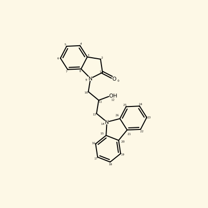 O=C1Cc2ccccc2N1CC(O)Cn1c2ccccc2c2ccccc21